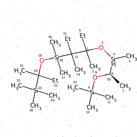 CCC(C)(O[SiH](C)[C@@H](C)O[Si](C)(C)C)C(C)(CC)[Si](C)(C)OC(C)(CC)[Si](C)(C)C